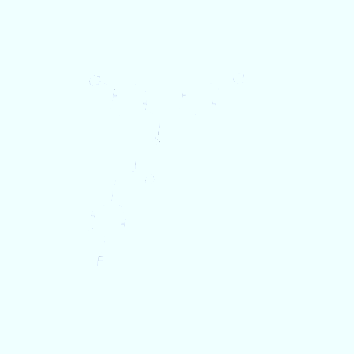 O=C(CSC(c1ccc(Cl)cc1)c1ccc(Cl)cc1)Cc1ccc(F)cc1